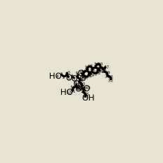 C=C(CCO)OCOC1COC2(CCC3(C)C(=CCC4C3CCC3(C)C(C(C)CCCCC)CCC43)C2)OC1C(COC(=O)CCO)OC(=O)CCO